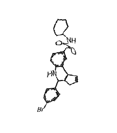 O=S(=O)(NC1CCCCC1)c1ccc2c(c1)C1C=CCC1C(c1ccc(Br)cc1)N2